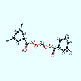 Cc1cc(C)cc(C(=O)SOSOSC(=O)c2cc(C)cc(C)c2)c1